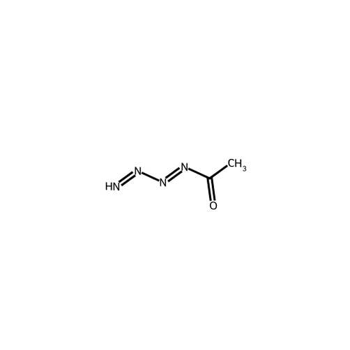 CC(=O)N=NN=N